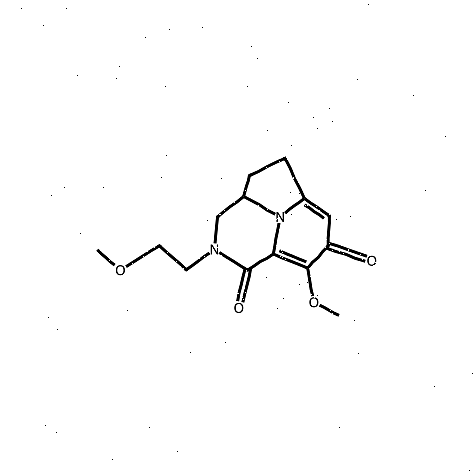 COCCN1CC2CCc3cc(=O)c(OC)c(n32)C1=O